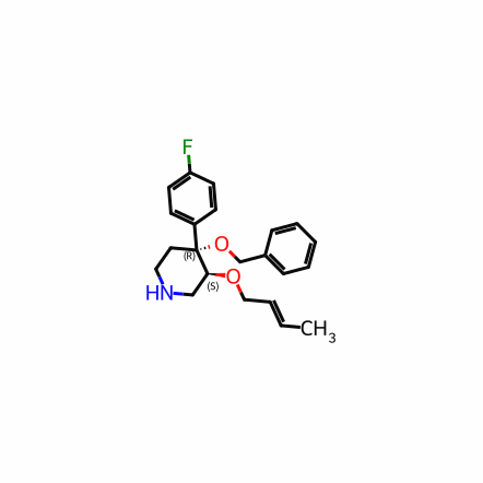 CC=CCO[C@H]1CNCC[C@@]1(OCc1ccccc1)c1ccc(F)cc1